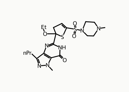 CCCc1nn(C)c2c(=O)[nH]c(C3(OCC)CC=C(S(=O)(=O)N4CCN(C)CC4)S3)nc12